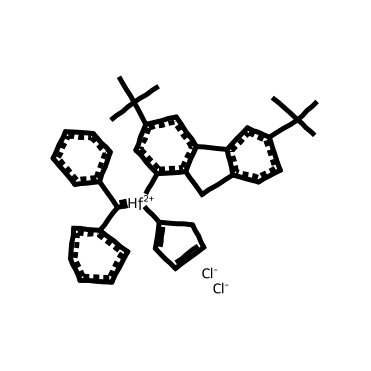 CC(C)(C)c1ccc2c(c1)-c1cc(C(C)(C)C)c[c]([Hf+2]([C]3=CC=CC3)=[C](c3ccccc3)c3ccccc3)c1C2.[Cl-].[Cl-]